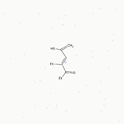 C=C(S)/C=C(\CC)C(=O)CC